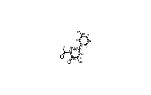 CC(=O)c1nn(-c2cccc(C)c2)cc(C)c1=O